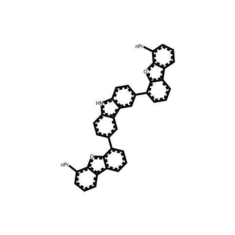 CCCc1cccc2c1oc1c(-c3ccc4[nH]c5ccc(-c6cccc7c6oc6c(CCC)cccc67)cc5c4c3)cccc12